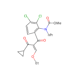 CCCN(C(=O)OC)c1c(C(=O)C(=COCC)C(=O)C2CC2)ccc(Cl)c1Cl